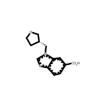 O=C(O)c1ccc2ncn(C[C@@H]3CCOC3)c2c1